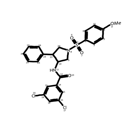 COc1ccc(S(=O)(=O)N2CC(NC(=O)c3cc(Cl)cc(Cl)c3)C(c3ccccc3)C2)cc1